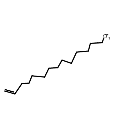 C=CCCCCCCCCCCCCC(F)(F)F